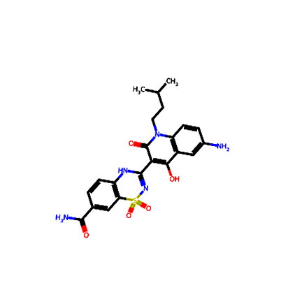 CC(C)CCn1c(=O)c(C2=NS(=O)(=O)c3cc(C(N)=O)ccc3N2)c(O)c2cc(N)ccc21